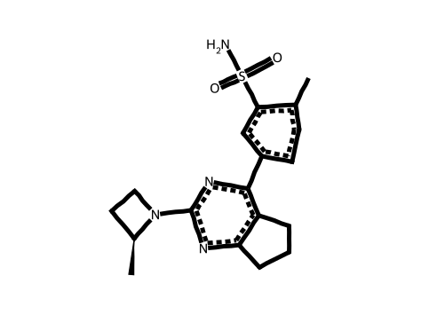 Cc1ccc(-c2nc(N3CC[C@@H]3C)nc3c2CCC3)cc1S(N)(=O)=O